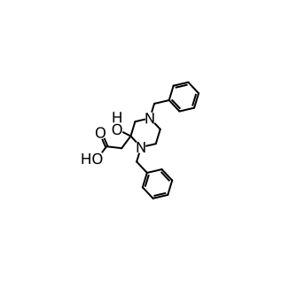 O=C(O)CC1(O)CN(Cc2ccccc2)CCN1Cc1ccccc1